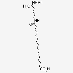 CC(=O)N[C@H](C)CCCCNC(=O)CCCCCCCCCCCCCCC(=O)O